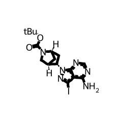 CC(C)(C)OC(=O)N1C[C@H]2C[C@@H]1C[C@@H]2n1nc(I)c2c(N)ncnc21